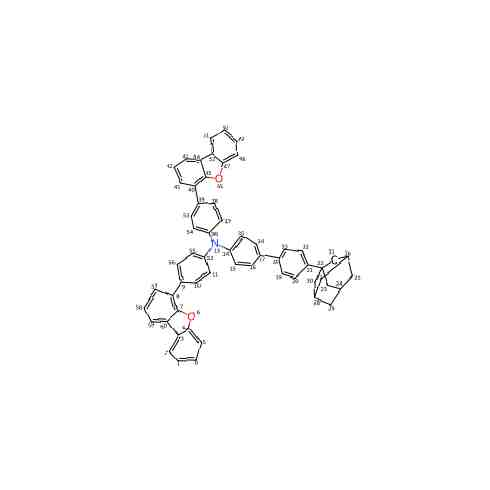 c1ccc2c(c1)oc1c(-c3ccc(N(c4ccc(-c5ccc(C67CC8CC(CC(C8)C6)C7)cc5)cc4)c4ccc(-c5cccc6c5oc5ccccc56)cc4)cc3)cccc12